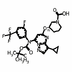 CC(C)(C)OC(=O)N(c1cc(F)cc(C(F)(F)F)c1)c1cc(O[C@H]2CCCN(C(=O)O)C2)nc2c(C3CC3)cnn12